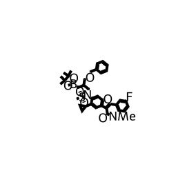 CNC(=O)c1c(-c2cccc(F)c2)oc2cc(N(CC(COCc3ccccc3)CB3OC(C)(C)C(C)(C)O3)S(C)(=O)=O)c(C3CC3)cc12